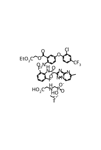 CCOC(=O)COC(=O)c1cc(Oc2ccc(C(F)(F)F)cc2Cl)ccc1[N+](=O)[O-].C[S+](C)C.Cc1ccn2nc(S(=O)(=O)Nc3c(F)cccc3F)nc2n1.O=C(O)CNCP(=O)([O-])O